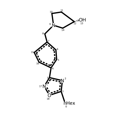 CCCCCCc1nc(-c2ccc(CN3CC[C@H](O)C3)cc2)no1